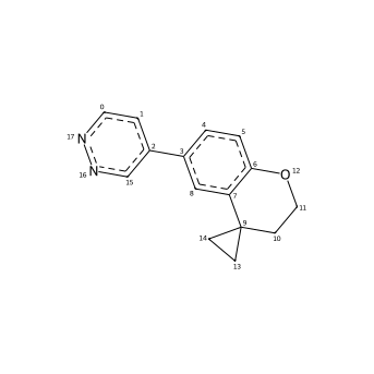 c1cc(-c2ccc3c(c2)C2(CCO3)CC2)cnn1